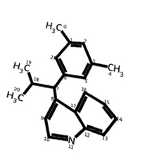 Cc1cc(C)cc(C(c2ccnc3ccccc23)C(C)C)c1